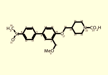 COCc1cc(-c2ccc([S+](C)[O-])cc2)ccc1OCC1CCN(C(=O)O)CC1